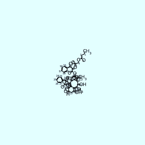 CCCC(=O)OCC(=O)O[C@@H](C(=O)O[C@H]1C[C@@]2(O)C(OC(=O)c3ccccc3)[C@@H]3[C@]4(OC(C)=O)CO[C@@H]4C[C@H](O)[C@@]3(C)C(=O)[C@H](O)C(=C1C)C2(C)C)[C@@H](C)c1ccccc1